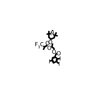 CC(C(=O)OC(COC(=O)c1cc(I)cc(I)c1I)COC1CC(C)(C)N(C)C(C)(C)C1)C(F)(F)F